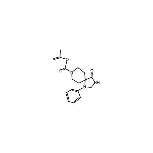 C=C(C)OC(=O)N1CCC2(CC1)C(=O)NCN2c1ccccc1